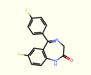 O=C1CN=C(c2ccc(F)cc2)c2cc(F)ccc2N1